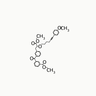 CCOC(=O)c1cccc(C(=O)c2cccc(CC(OCCCCC#Cc3ccc(OC)cc3)C(=O)OCC)c2)c1